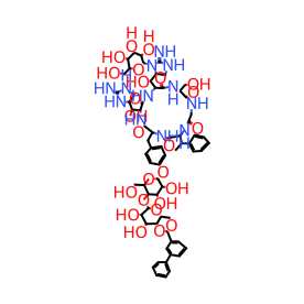 CC(c1ccccc1)C1NC(=O)CNC(=O)C(CO)NC(=O)C(C(O)C2CNC(=N)N2C2OC(CO)C(O)C(O)C2O)NC(=O)C(C(O)C2CNC(=N)N2)NC(=O)C(Cc2ccc(OC3OC(CO)C(OC4OC5COC(c6cccc(-c7ccccc7)c6)OC5C(O)C4O)C(O)C3O)cc2)NC1=O